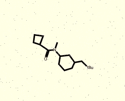 CN(C(=O)C1CCC1)C1CCCC(CC(C)(C)C)C1